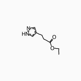 CCOC(=O)CCc1cn[nH]c1